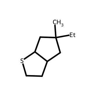 CCC1(C)CC2CCSC2C1